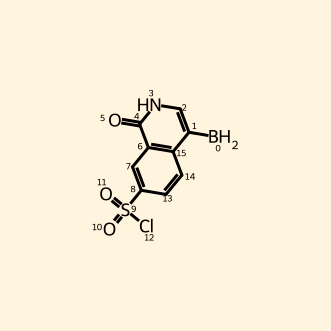 Bc1c[nH]c(=O)c2cc(S(=O)(=O)Cl)ccc12